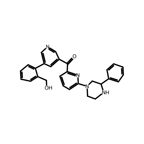 O=C(c1cncc(-c2ccccc2CO)c1)c1cccc(N2CCNC(c3ccccc3)C2)n1